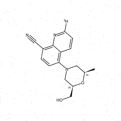 [2H]c1ccc2c(N3C[C@H](CO)O[C@H](C)C3)ccc(C#N)c2n1